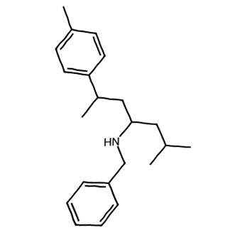 Cc1ccc(C(C)CC(CC(C)C)NCc2ccccc2)cc1